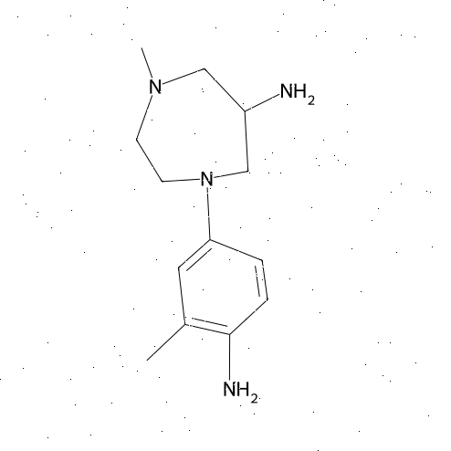 Cc1cc(N2CCN(C)CC(N)C2)ccc1N